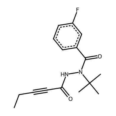 CCC#CC(=O)NN(C(=O)c1cccc(F)c1)C(C)(C)C